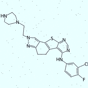 Fc1ccc(Nc2ncnc3sc4c(c23)CCc2nn(CCN3CCNCC3)cc2-4)cc1Cl